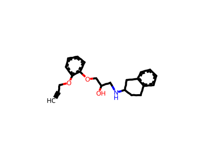 C#CCOc1ccccc1OCC(O)CNC1CCc2ccccc2C1